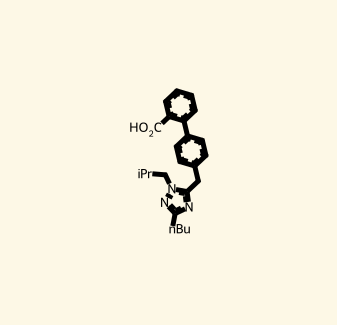 CCCCc1nc(Cc2ccc(-c3ccccc3C(=O)O)cc2)n(CC(C)C)n1